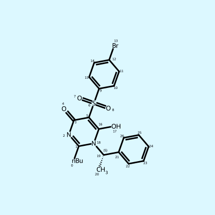 CCCCc1nc(=O)c(S(=O)(=O)c2ccc(Br)cc2)c(O)n1[C@@H](C)c1ccccc1